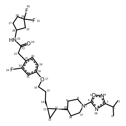 CC(C)c1noc(N2CCC([C@H]3C[C@H]3CCCOc3ccc(CC(=O)NC4CCC(F)(F)C4)c(F)c3)CC2)n1